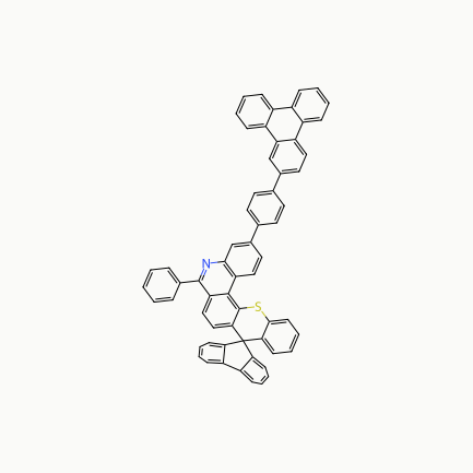 c1ccc(-c2nc3cc(-c4ccc(-c5ccc6c7ccccc7c7ccccc7c6c5)cc4)ccc3c3c4c(ccc23)C2(c3ccccc3S4)c3ccccc3-c3ccccc32)cc1